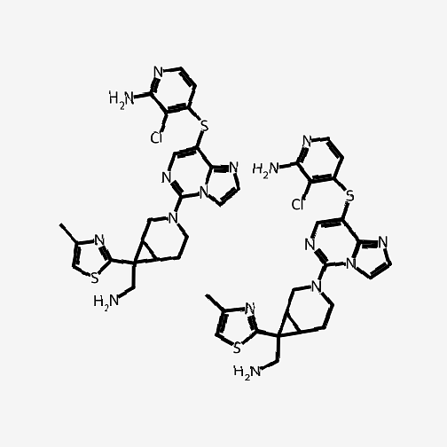 Cc1csc(C2(CN)C3CCN(c4ncc(Sc5ccnc(N)c5Cl)c5nccn45)CC32)n1.Cc1csc(C2(CN)C3CCN(c4ncc(Sc5ccnc(N)c5Cl)c5nccn45)CC32)n1